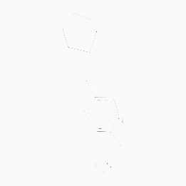 NCc1ccc(CSC2CCCCC2)cn1